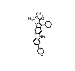 CN(C)C(=O)c1sc2cnc(Nc3cccc(N4CCOCC4)c3)cc2c1C1CCCCC1